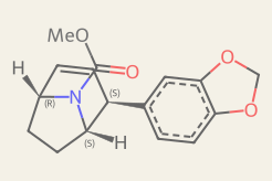 COC(=O)N1[C@H]2C=C[C@@H](c3ccc4c(c3)OCO4)[C@@H]1CC2